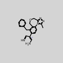 Cc1nnc2n1-c1ccc(/C(C=N)=C/N)c(Cc3ccccc3)c1COC2